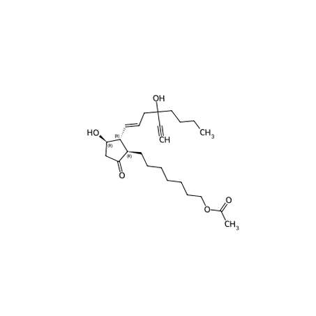 C#CC(O)(CC=C[C@H]1[C@H](O)CC(=O)[C@@H]1CCCCCCCOC(C)=O)CCCC